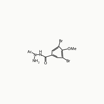 COc1c(Br)cc(C(=O)NN(N)C(C)=O)cc1Br